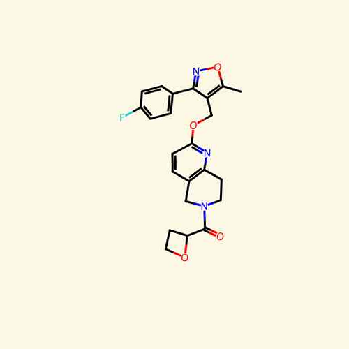 Cc1onc(-c2ccc(F)cc2)c1COc1ccc2c(n1)CCN(C(=O)C1CCO1)C2